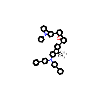 CC1(C)c2cc(-c3cccc4c3oc3c(-c5ccc6c(c5)c5ccccc5n6-c5ccccc5)cccc34)ccc2-c2ccc(N(c3ccc(-c4ccccc4)cc3)c3ccc(-c4ccccc4)cc3)cc21